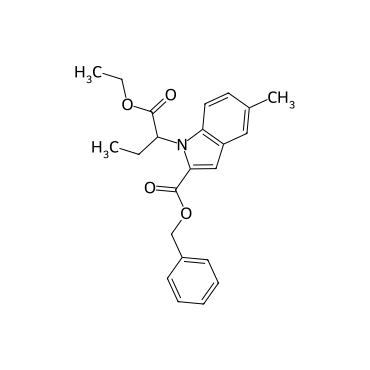 CCOC(=O)C(CC)n1c(C(=O)OCc2ccccc2)cc2cc(C)ccc21